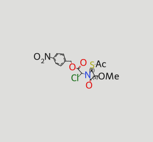 CO[C@H]1C(=O)N(C(Cl)C(=O)OCc2ccc([N+](=O)[O-])cc2)[C@@H]1SC(C)=O